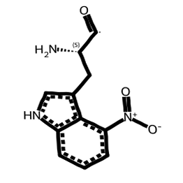 N[C@H]([C]=O)Cc1c[nH]c2cccc([N+](=O)[O-])c12